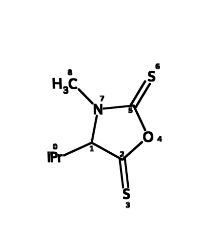 CC(C)C1C(=S)OC(=S)N1C